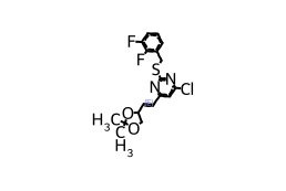 CC1(C)OCC(/C=C/c2cc(Cl)nc(SCc3cccc(F)c3F)n2)O1